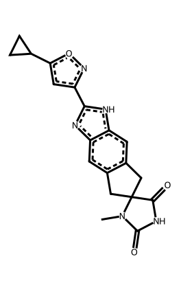 CN1C(=O)NC(=O)C12Cc1cc3nc(-c4cc(C5CC5)on4)[nH]c3cc1C2